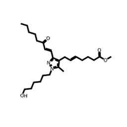 CCCCCC(=O)C=Cc1nn(CCCCCCO)c(C)c1CC=CCCCC(=O)OC